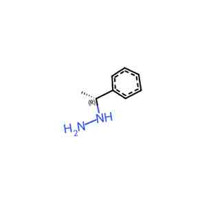 C[C@@H](NN)c1ccccc1